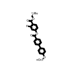 CCCCCCCCOc1ccc(-c2ccc(C(=O)Oc3ccc(C(=O)OC[C@@H](C)CC)c(F)c3)cc2)cc1